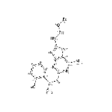 CCOPNc1nc2nc(SC(C)c3ccccc3Cl)nc(N)c2s1